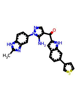 Cc1nc2cc(-n3ncc(C(=O)c4cc5ccc(-c6ccsc6)cc5[nH]4)c3N)ccc2[nH]1